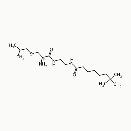 CC(C)CSC[C@H](N)C(=O)NCCNC(=O)CCCCCC(C)(C)C